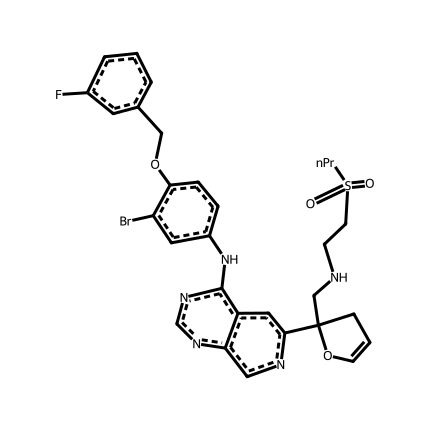 CCCS(=O)(=O)CCNCC1(c2cc3c(Nc4ccc(OCc5cccc(F)c5)c(Br)c4)ncnc3cn2)CC=CO1